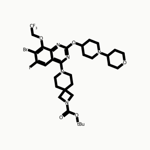 CC(C)(C)OC(=O)N1CC2(CCN(c3nc(OC4CCN(C5CCOCC5)CC4)nc4c(OCC(F)(F)F)c(Br)c(I)cc34)CC2)C1